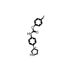 O=C(Nc1ccc([C@H]2CCNC2)cc1)Oc1ccc(F)cc1